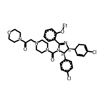 CCOc1ccccc1C1=N[C@@H](C2C=CC(Cl)=CC2)[C@@H](c2ccc(Cl)cc2)N1C(=O)N1CCN(CC(=O)N2CCOCC2)CC1